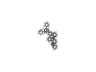 c1ccc(-c2cc(-c3ccccc3)nc(-c3cccc(-c4cccc5c6c7oc8ccccc8c7ccc6n(-c6ccccc6)c45)c3)n2)cc1